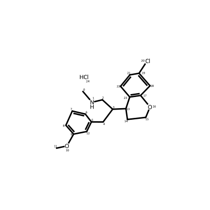 CNCC(Cc1cccc(OC)c1)C1CCOc2cc(Cl)ccc21.Cl